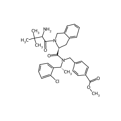 COC(=O)c1ccc(CN(C(=O)[C@@H]2Cc3ccccc3CN2C(=O)C(N)C(C)(C)C)[C@H](C)c2ccccc2Cl)cc1